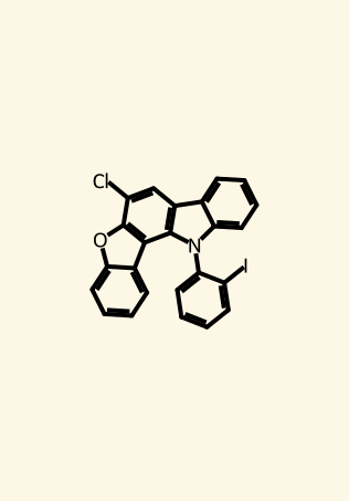 Clc1cc2c3ccccc3n(-c3ccccc3I)c2c2c1oc1ccccc12